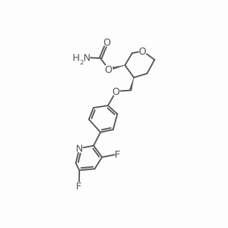 NC(=O)O[C@H]1COCC[C@H]1COc1ccc(-c2ncc(F)cc2F)cc1